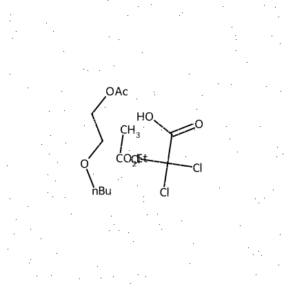 CCCCOCCOC(C)=O.CCOC(C)=O.O=C(O)C(Cl)(Cl)Cl